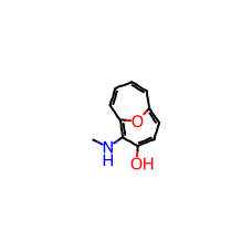 CNC1=C2C=CC=CC(=CC=C1O)O2